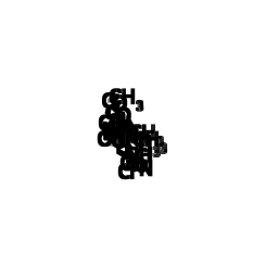 CCOC(=O)[C@H](Cc1ccc(NC(=O)c2c(Cl)cncc2Cl)cc1)NC(=O)[C@@H]1C(NC(C)(C)C)CCN1S(=O)(=O)c1cccc(S(C)(=O)=O)c1